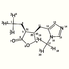 [2H]C([2H])([2H])C[C@@H]1C(=O)OC[C@@H]1Cc1cncn1C([2H])([2H])[2H]